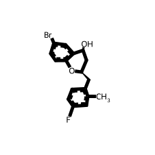 Cc1cc(F)ccc1C[C@@H]1C[C@H](O)c2cc(Br)ccc2O1